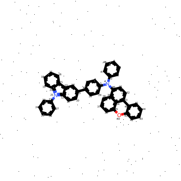 c1ccc(N(c2ccc(-c3ccc4c(c3)c3ccccc3n4-c3ccccc3)cc2)c2ccc3c4c(cccc24)Oc2ccccc2-3)cc1